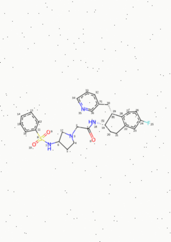 O=C(CN1CCC(NS(=O)(=O)c2ccccc2)C1)N[C@H]1CCc2cc(F)ccc2[C@H]1Cc1cccnc1